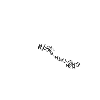 CC(C)(C)OC(=O)COCCCN1CCN(c2ccc(-c3cnc(NCc4ccco4)n4cnnc34)cc2)CC1